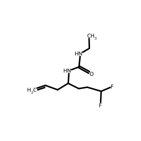 C=CCC(CCC(F)F)NC(=O)NCC